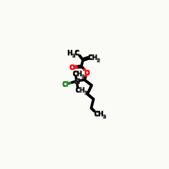 C=C(C)C(=O)OC(CCCCC)[Si](C)(C)Cl